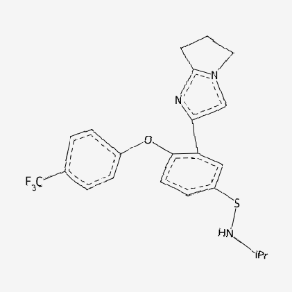 CC(C)NSc1ccc(Oc2ccc(C(F)(F)F)cc2)c(-c2cn3c(n2)CCC3)c1